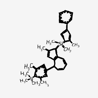 CC1=CC(c2ccccc2)=CC1[Si](C)(C)C1C(C)=CC2=C1C=CC=CC2c1cc(C)c([Si](C)(C)C)c(C)c1